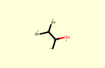 CC(C)C(C(C)C)C(C)O